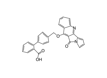 O=C(O)c1ccccc1-c1ccc(COc2c3c(nc4ccccc24)-c2cccn2C3=O)cc1